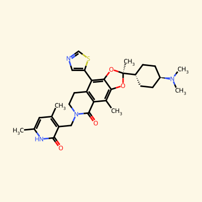 Cc1cc(C)c(CN2CCc3c(c(C)c4c(c3-c3cncs3)O[C@@](C)([C@H]3CC[C@H](N(C)C)CC3)O4)C2=O)c(=O)[nH]1